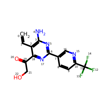 C=Cc1c(N)nc(-c2ccc(C(F)(F)F)nc2)nc1C(=O)CO